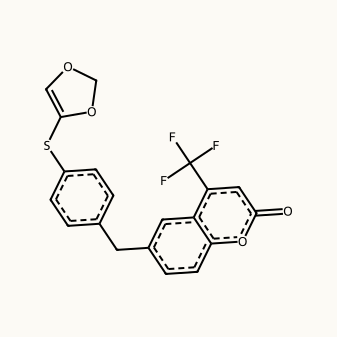 O=c1cc(C(F)(F)F)c2cc(Cc3ccc(SC4=COCO4)cc3)ccc2o1